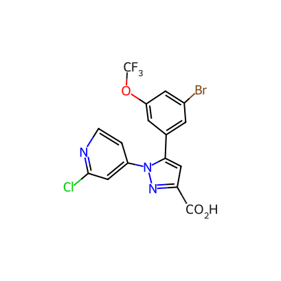 O=C(O)c1cc(-c2cc(Br)cc(OC(F)(F)F)c2)n(-c2ccnc(Cl)c2)n1